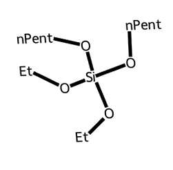 CCCCCO[Si](OCC)(OCC)OCCCCC